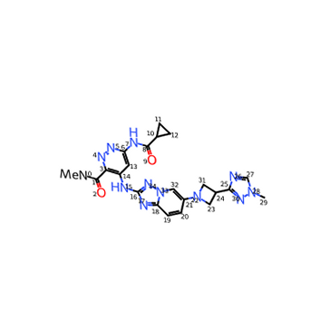 CNC(=O)c1nnc(NC(=O)C2CC2)cc1Nc1nc2ccc(N3CC(c4ncn(C)n4)C3)cn2n1